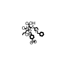 CC[C@H](O)[C@@H]1C(=O)N2C(C(=O)O)=C(SC3CCN(Cc4ccccc4)C3)S[C@]12SCc1ccc([N+](=O)[O-])cc1